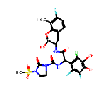 CS(=O)(=O)N1CCN(C(=O)NC(C(=O)NC2Cc3ccc(F)c(C(=O)O)c3OB2O)c2c(F)c(F)c(O)c(O)c2Cl)C1=O